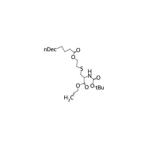 C=CCOC(=O)C(CSCCOC(=O)CCCCCCCCCCCCC)NC(=O)OC(C)(C)C